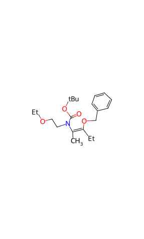 CCOCCN(C(=O)OC(C)(C)C)/C(C)=C(/CC)OCc1ccccc1